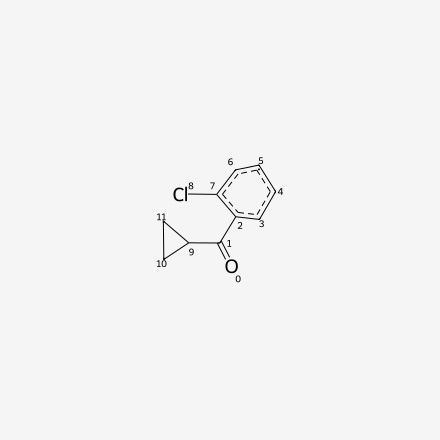 O=C(c1cc[c]cc1Cl)C1CC1